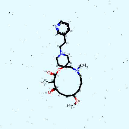 COC1CCCN(C)CC2(CCN(CCc3cccnc3)CC2)OC(=O)C(C)C(=O)CC1